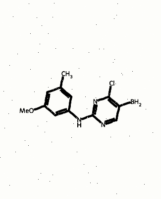 Bc1cnc(Nc2cc(C)cc(OC)c2)nc1Cl